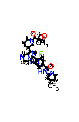 CC1(C(=O)N2CCCC(C3=C4C=NC=C[N+]4(N)C(c4ccc(C(=O)Nc5cc(C(F)(F)F)ccn5)cc4F)=N3)C2)COC1